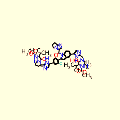 CCCN(Cc1ncc(-c2ccc3c(c2)cc2n3C(c3cnc4n3CCC4)Oc3cc(-c4cnc([C@@H]5CCCN5C(=O)C(NC(=O)OC)C(C)C)[nH]4)cc(F)c3-2)[nH]1)C(O)C(NC(=O)OC)C(C)C